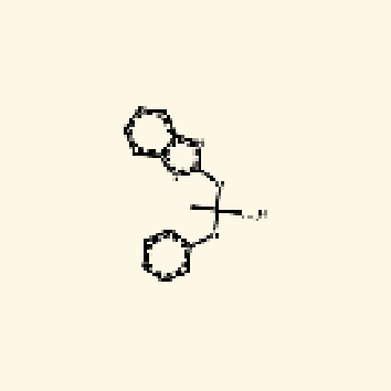 CC(Oc1ccccc1)(Oc1nc2ccccc2o1)C(=O)O